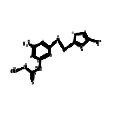 CC(C)c1csc(COc2cc(N)cc(NC(=O)OC(C)(C)C)c2)n1